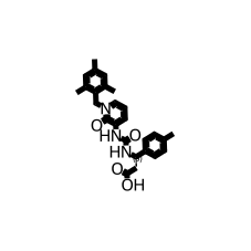 Cc1ccc([C@H](CC(=O)O)NC(=O)Nc2cccn(Cc3c(C)cc(C)cc3C)c2=O)cc1